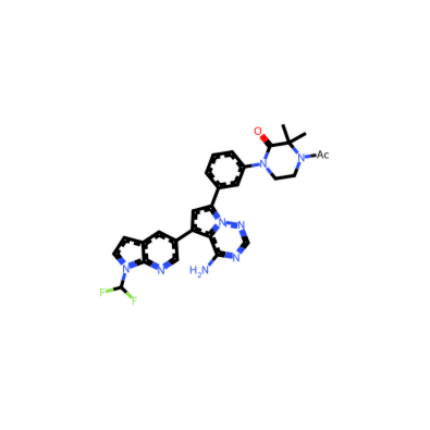 CC(=O)N1CCN(c2cccc(-c3cc(-c4cnc5c(ccn5C(F)F)c4)c4c(N)ncnn34)c2)C(=O)C1(C)C